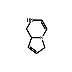 [C]1NC=CN2CC=CC12